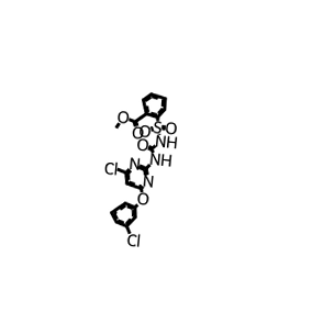 COC(=O)c1ccccc1S(=O)(=O)NC(=O)Nc1nc(Cl)cc(Oc2cccc(Cl)c2)n1